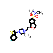 C[C@@H]1CN(c2csc3cc(F)ccc23)CCN1CC[C@@H]1OCCc2cc(S(=O)(=O)N(C)C)ccc21